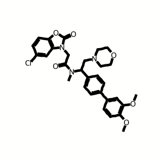 COc1ccc(-c2ccc(C(CN3CCOCC3)N(C)C(=O)Cn3c(=O)oc4ccc(Cl)cc43)cc2)cc1OC